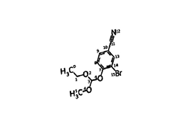 CCOC(OC)Oc1ccc(C#N)cc1Br